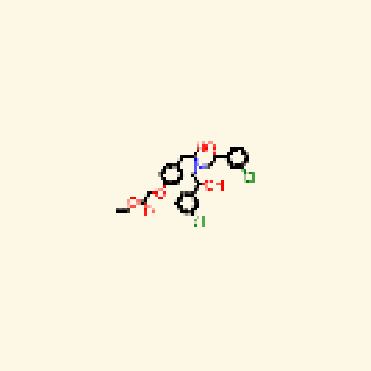 CCOC(=O)COc1ccc(C[C@@H](C)N(C[C@@H](O)c2cccc(Cl)c2)C[C@@H](O)c2cccc(Cl)c2)cc1